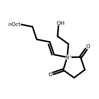 CCCCCCCCCCC=C[N+]1(CCO)C(=O)CCC1=O